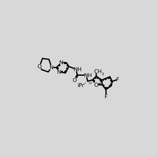 Cc1c([C@@H](NC(=O)Nc2cnc(N3CCOCC3)nc2)C(C)C)oc2c(F)cc(F)cc12